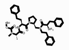 C[C@@H](C(=O)N[C@@H](CCc1ccccc1)C(=O)N1CCC[C@H]1CN(CCc1ccccc1)C(=O)[C@H](N)Cc1ccccc1)N(C)C(=O)OC(C)(C)C